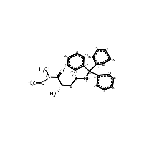 CON(C)C(=O)[C@@H](C)CC(=O)NC(c1ccccc1)(c1ccccc1)c1ccccc1